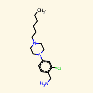 [CH2]CCCCCN1CCN(c2ccc(CN)c(Cl)c2)CC1